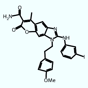 COc1ccc(CCn2c(Nc3cccc(I)c3)nc3cc4c(C)c(C(N)=O)c(=O)oc4cc32)cc1